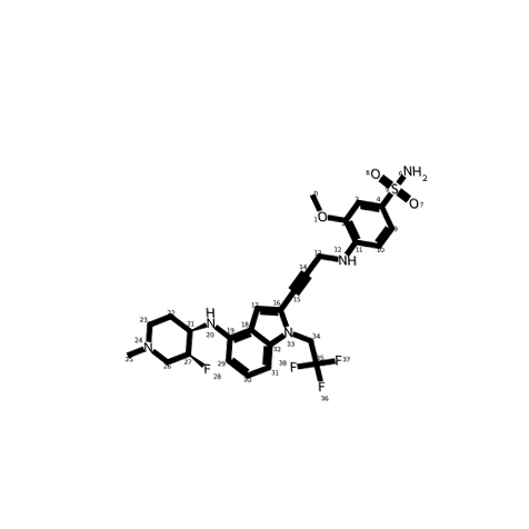 COc1cc(S(N)(=O)=O)ccc1NCC#Cc1cc2c(N[C@@H]3CCN(C)C[C@@H]3F)cccc2n1CC(F)(F)F